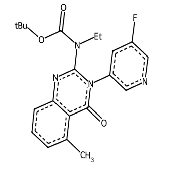 CCN(C(=O)OC(C)(C)C)c1nc2cccc(C)c2c(=O)n1-c1cncc(F)c1